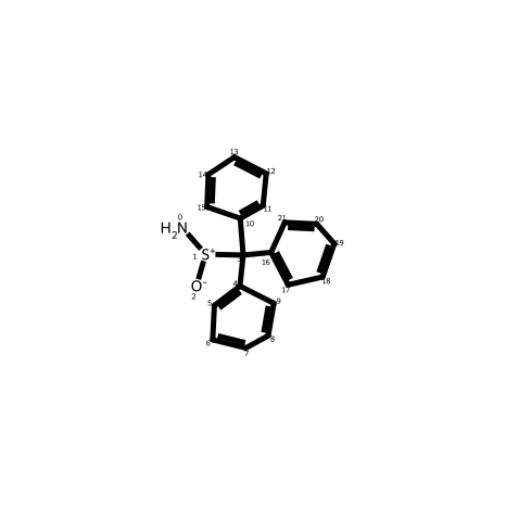 N[S+]([O-])C(c1ccccc1)(c1ccccc1)c1ccccc1